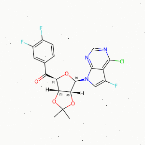 CC1(C)O[C@@H]2[C@H](O1)[C@@H](C(=O)c1ccc(F)c(F)c1)O[C@H]2n1cc(F)c2c(Cl)ncnc21